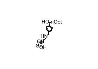 CCCCCCCCC(O)c1ccc(CNCCCP(=O)(O)O)cc1